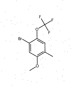 COc1cc(Br)c(OC(F)(F)F)cc1C